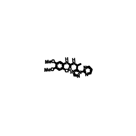 COc1cc(NC(=O)NC(C)c2ncnn2-c2ncccn2)c(C(F)(F)F)cc1OC